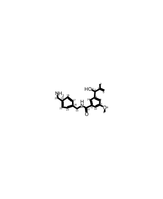 C=C(C)C(O)c1cc(OC)cc(C(=O)NCc2ccc(CN)cc2)c1